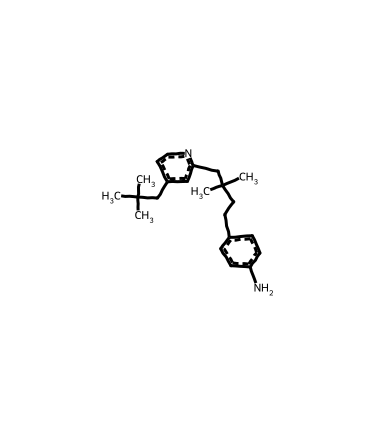 CC(C)(C)Cc1ccnc(CC(C)(C)CCc2ccc(N)cc2)c1